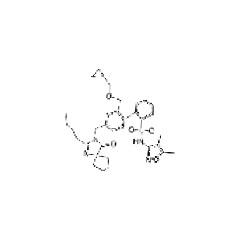 CCCCC1=NC2(CCCC2)C(=O)N1Cc1ccc(-c2ccccc2S(=O)(=O)Nc2noc(C)c2C)c(COCC2CC2)c1